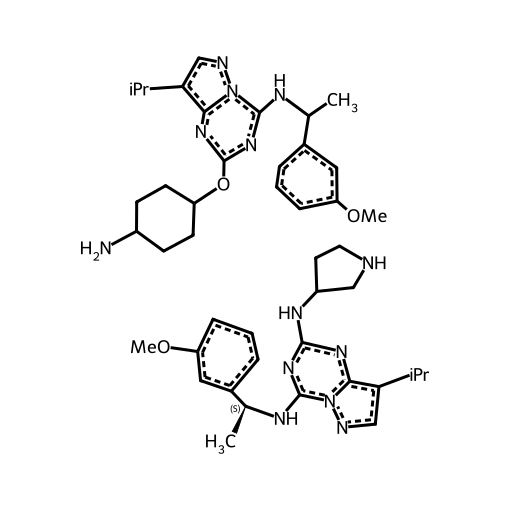 COc1cccc(C(C)Nc2nc(OC3CCC(N)CC3)nc3c(C(C)C)cnn23)c1.COc1cccc([C@H](C)Nc2nc(NC3CCNC3)nc3c(C(C)C)cnn23)c1